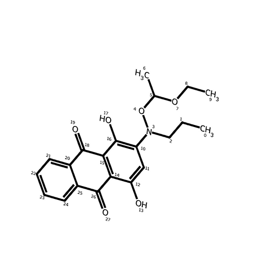 CCCN(OC(C)OCC)c1cc(O)c2c(c1O)C(=O)c1ccccc1C2=O